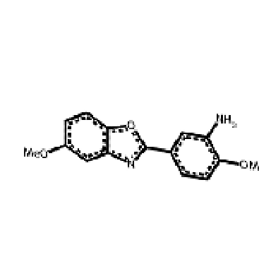 COc1ccc2oc(-c3ccc(OC)c(N)c3)nc2c1